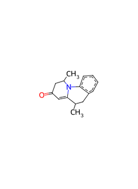 CC1Cc2ccccc2N2C1=CC(=O)CC2C